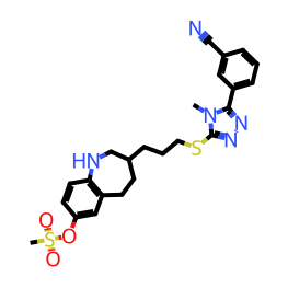 Cn1c(SCCCC2CCc3cc(OS(C)(=O)=O)ccc3NC2)nnc1-c1cccc(C#N)c1